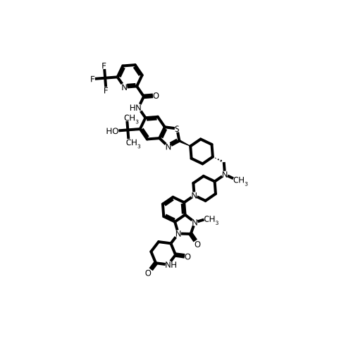 CN(C[C@H]1CC[C@H](c2nc3cc(C(C)(C)O)c(NC(=O)c4cccc(C(F)(F)F)n4)cc3s2)CC1)C1CCN(c2cccc3c2n(C)c(=O)n3C2CCC(=O)NC2=O)CC1